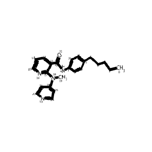 CCCCCc1ccc(NC(=O)c2cccnc2N(C)c2ccncc2)cc1